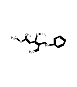 C=C/C(CNc1ccccc1)=C(\C=C(/C)OC)OC